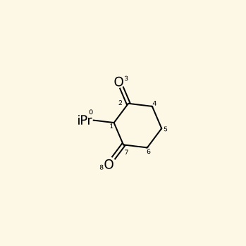 CC(C)C1C(=O)CCCC1=O